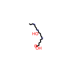 CC/C=C\CC/C=C/C(O)CC/C=C\CCCCC(=O)O